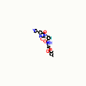 Cc1ccc(C(=O)OC2CC(CNC(=O)c3cc(F)cc(CN4C(=O)c5ccc(-c6ccncc6)cc5N(C)C(=O)[C@H]4C)c3)C2)c(C)c1